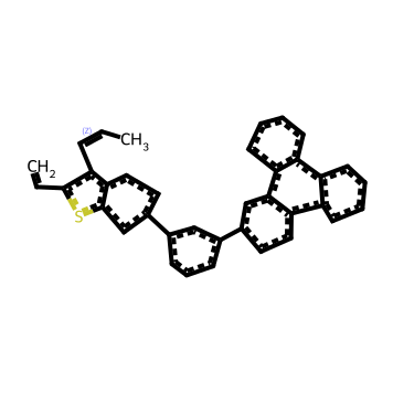 C=Cc1sc2cc(-c3cccc(-c4ccc5c6ccccc6c6ccccc6c5c4)c3)ccc2c1/C=C\C